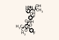 CC(CO)Nc1n[nH]c2nccc(Oc3ccc(NC(=O)c4cn(C(C)C)c(=O)n(-c5ccc(F)cc5)c4=O)cc3F)c12